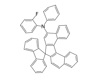 Fc1ccccc1N(c1ccccc1)c1cc2c(c3ccccc13)-c1c(ccc3ccccc13)C21c2ccccc2-c2ccccc21